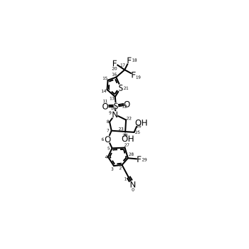 N#Cc1ccc(OC2CN(S(=O)(=O)c3ccc(C(F)(F)F)s3)C[C@@]2(O)CO)cc1F